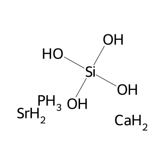 O[Si](O)(O)O.P.[CaH2].[SrH2]